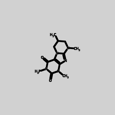 CC1CN(C)c2nc3c(c(=O)n(P)c(=O)n3C)n2C1